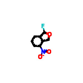 O=[N+]([O-])c1cccc2c(F)occ12